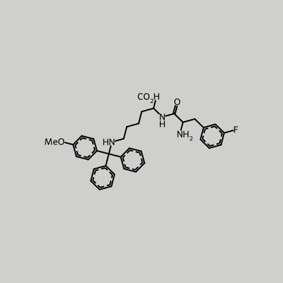 COc1ccc(C(NCCCCC(NC(=O)C(N)Cc2cccc(F)c2)C(=O)O)(c2ccccc2)c2ccccc2)cc1